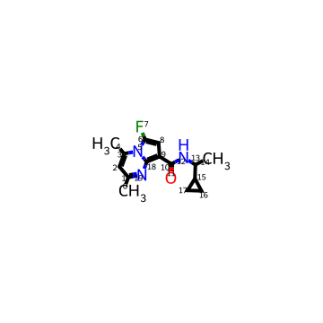 Cc1cc(C)n2c(F)cc(C(=O)NC(C)C3CC3)c2n1